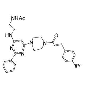 CC(=O)NCCNc1cc(N2CCN(C(=O)C=Cc3ccc(C(C)C)cc3)CC2)nc(-c2ccccc2)n1